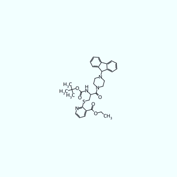 CCOC(=O)c1cccnc1SCC(NC(=O)OC(C)(C)C)C(=O)N1CCN(C2c3ccccc3-c3ccccc32)CC1